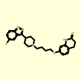 O=C1CCc2ccc(OCCCCN3CCC(c4noc5ccc(F)cc45)CC3)cc2N1